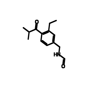 CCc1cc(CNC=O)ccc1C(=O)C(C)C